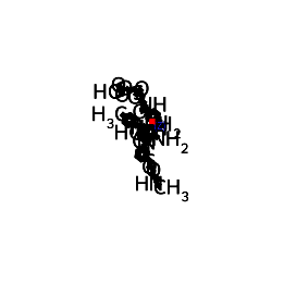 CNCCOOSc1cccc(N=Nc2c(N)c(/N=N\c3ccc(C(=O)NCCS(=O)(=O)CCOS(=O)(=O)O)cc3)c(N)c(N=Nc3ccc(C)cc3)c2C(=O)O)c1